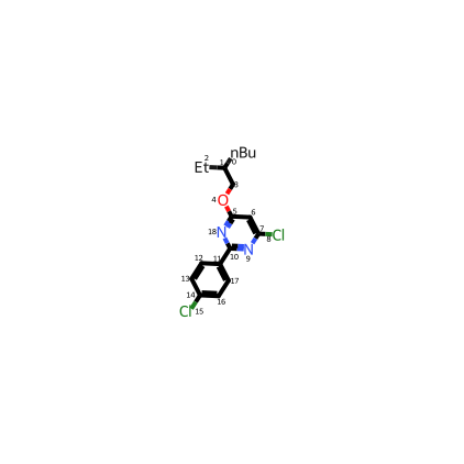 CCCCC(CC)COc1cc(Cl)nc(-c2ccc(Cl)cc2)n1